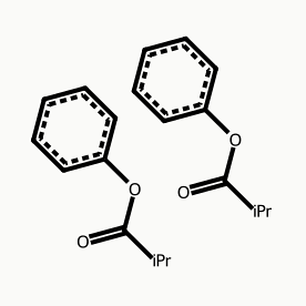 CC(C)C(=O)Oc1ccccc1.CC(C)C(=O)Oc1ccccc1